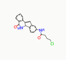 O=C(CCCCl)Nc1ccc2c(c1)C=C1c3ccccc3C(=O)NC12